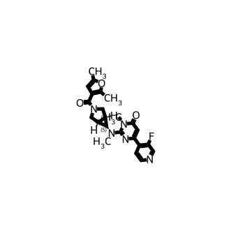 Cc1cc(C(=O)N2C[C@@H]3[C@H](C2)[C@H]3N(C)c2nc(-c3ccncc3F)cc(=O)n2C)c(C)o1